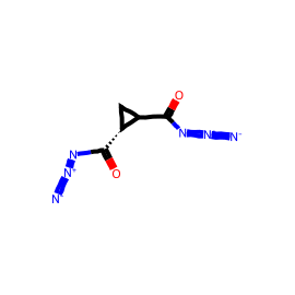 [N-]=[N+]=NC(=O)C1C[C@H]1C(=O)N=[N+]=[N-]